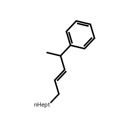 CCCCCCCCC=CC(C)c1ccccc1